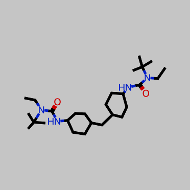 CCN(C(=O)NC1CCC(CC2CCC(NC(=O)N(CC)C(C)(C)C)CC2)CC1)C(C)(C)C